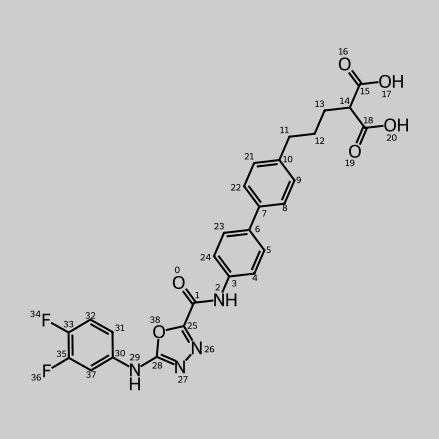 O=C(Nc1ccc(-c2ccc(CCCC(C(=O)O)C(=O)O)cc2)cc1)c1nnc(Nc2ccc(F)c(F)c2)o1